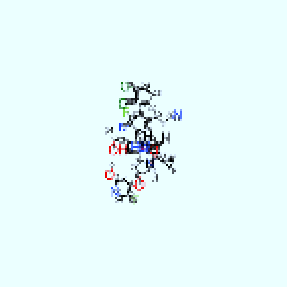 COc1cc(O[C@H]2C[C@H](c3cc4c([C@@H](C)O)nc5c(F)c(-c6cccc(Cl)c6Cl)c(CCC#N)cc5c4n3[C@H]3[C@H]4CN[C@@H]3C4)N(C(=O)C3CC3)[C@@H]2C)c(F)cn1